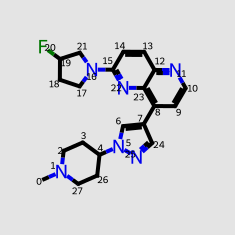 CN1CCC(n2cc(-c3ccnc4ccc(N5CCC(F)C5)nc34)cn2)CC1